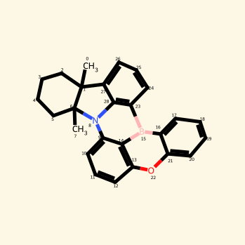 CC12CCCCC1(C)N1c3cccc4c3B(c3ccccc3O4)c3cccc2c31